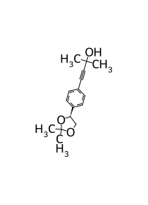 CC(C)(O)C#Cc1ccc([C@H]2COC(C)(C)O2)cc1